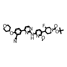 COc1nc(Nc2nccc(-c3ccc(OC4CCOCC4)c(C#N)c3)n2)ccc1C1CCN(C(=O)OC(C)(C)C)CC1F